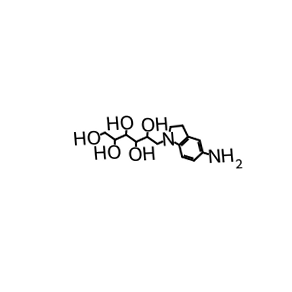 Nc1ccc2c(c1)CCN2CC(O)C(O)C(O)C(O)CO